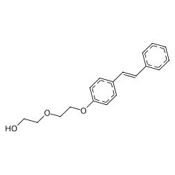 OCCOCCOc1ccc(C=Cc2ccccc2)cc1